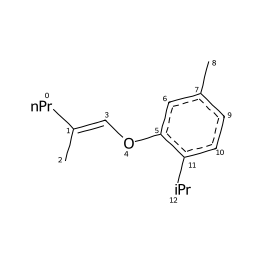 CCCC(C)=COc1cc(C)ccc1C(C)C